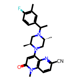 Cc1cc(C(C)N2C[C@H](C)N(c3cc(=O)n(C)c4ccc(C#N)nc34)C[C@H]2C)ccc1F